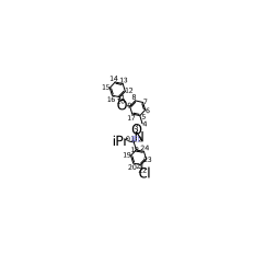 CC(C)/C(=N\OCc1cccc(Oc2ccccc2)c1)c1ccc(Cl)cc1